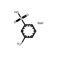 O=S(=O)(O)c1cccc(P)c1.[NaH]